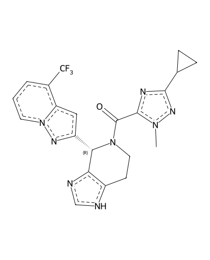 Cn1nc(C2CC2)nc1C(=O)N1CCc2[nH]cnc2[C@@H]1c1cc2c(C(F)(F)F)cccn2n1